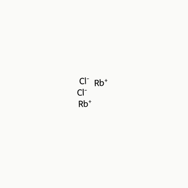 [Cl-].[Cl-].[Rb+].[Rb+]